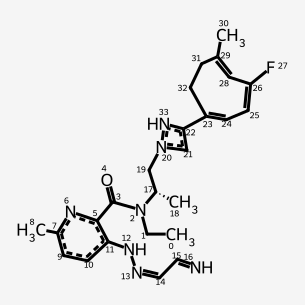 CCN(C(=O)c1nc(C)ccc1N/N=C\C=N)[C@@H](C)Cn1cc(/C2=C/C=C(F)\C=C(/C)CC2)[nH]1